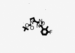 Cc1c(F)cccc1-c1nc(C2CCN2C(=O)OC(C)(C)C)no1